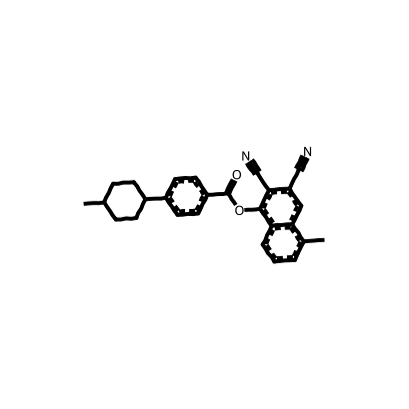 Cc1cccc2c(OC(=O)c3ccc(C4CCC(C)CC4)cc3)c(C#N)c(C#N)cc12